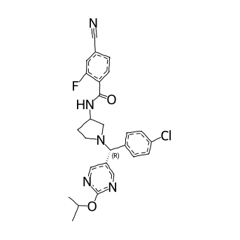 CC(C)Oc1ncc([C@@H](c2ccc(Cl)cc2)N2CCC(NC(=O)c3ccc(C#N)cc3F)C2)cn1